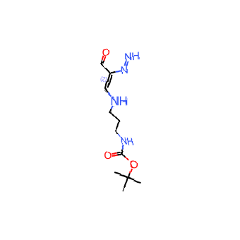 CC(C)(C)OC(=O)NCCCN/C=C(/C=O)N=N